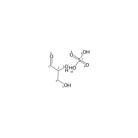 O=CC(O)CO.O=S(=O)(O)O